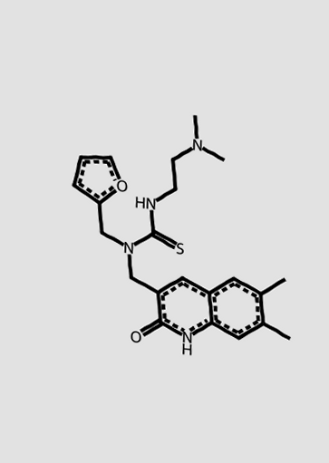 Cc1cc2cc(CN(Cc3ccco3)C(=S)NCCN(C)C)c(=O)[nH]c2cc1C